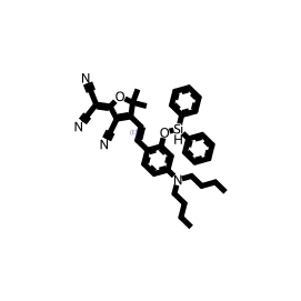 CCCCN(CCCC)c1ccc(/C=C/C2=C(C#N)C(=C(C#N)C#N)OC2(C)C)c(O[SiH](c2ccccc2)c2ccccc2)c1